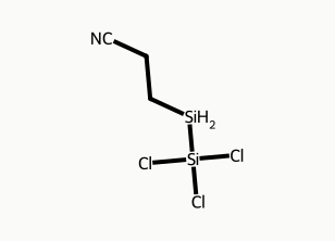 N#CCC[SiH2][Si](Cl)(Cl)Cl